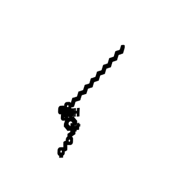 CCCCCCCCCCCCCCCCCCOP(=O)(O)OC1CC[N+](C)(CCOCCOC)CC1